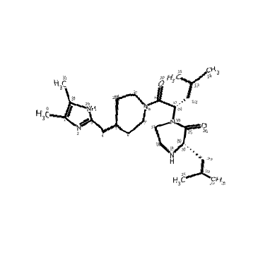 Cc1nc(CC2CCN(C(=O)[C@H](CC(C)C)N3CCN[C@@H](CC(C)C)C3=O)CC2)[nH]c1C